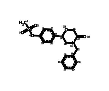 CS(=O)(=O)Oc1ccc([C@@H]2CN(Cc3ccccc3)C(=O)CO2)cc1